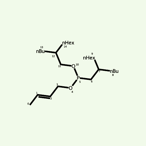 CC=CCOP(CC(CCCC)CCCCCC)OCC(CCCC)CCCCCC